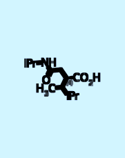 CC(C)NC(=O)C[C@@H](C(=O)O)C(C)C(C)C